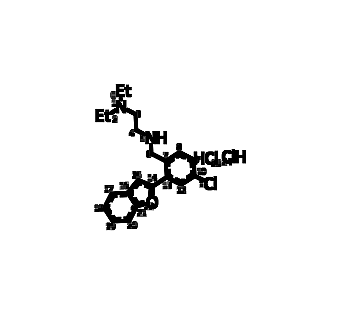 CCN(CC)CCNCc1ccc(Cl)cc1-c1cc2ccccc2o1.Cl.Cl